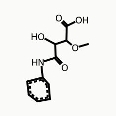 COC(C(=O)O)C(O)C(=O)Nc1ccccc1